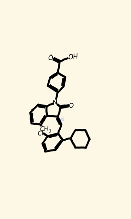 Cc1cccc2c1/C(=C\c1c(Cl)cccc1C1CCCCC1)C(=O)N2c1ccc(C(=O)O)cc1